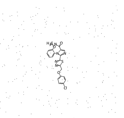 COc1ccccc1-n1c(C(N)=O)cnc1-c1nnc(COc2ccc(Cl)cc2)s1